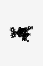 CCNC(=O)NC(CC(N)=O)([C@H]1C[C@H](n2cc(CO)cn2)[C@@H](O)[C@H]1O)n1cnc2c(NCC(c3ccccc3)c3ccccc3)nc(C(=O)O)nc21